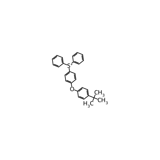 CC(C)(C)c1ccc(Oc2ccc([S+](c3ccccc3)c3ccccc3)cc2)cc1